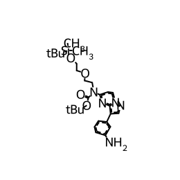 CC(C)(C)OC(=O)N(CCOCCO[Si](C)(C)C(C)(C)C)c1ccn2ncc(-c3cccc(N)c3)c2n1